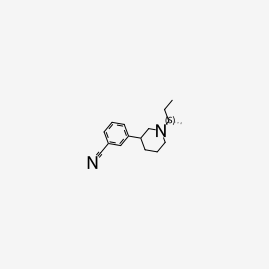 CC[C@H](C)N1CCCC(c2cccc(C#N)c2)C1